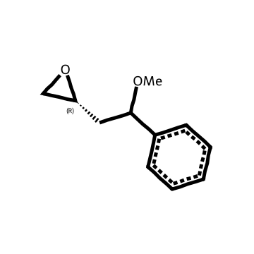 COC(C[C@@H]1CO1)c1ccccc1